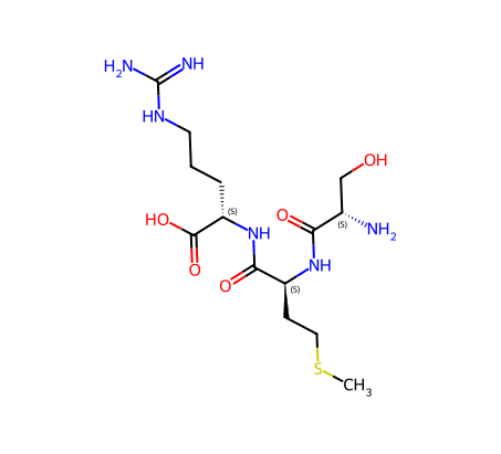 CSCC[C@H](NC(=O)[C@@H](N)CO)C(=O)N[C@@H](CCCNC(=N)N)C(=O)O